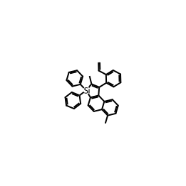 C=Cc1ccccc1C1=C(C)[Si](c2ccccc2)(c2ccccc2)c2ccc3c(C)cccc3c21